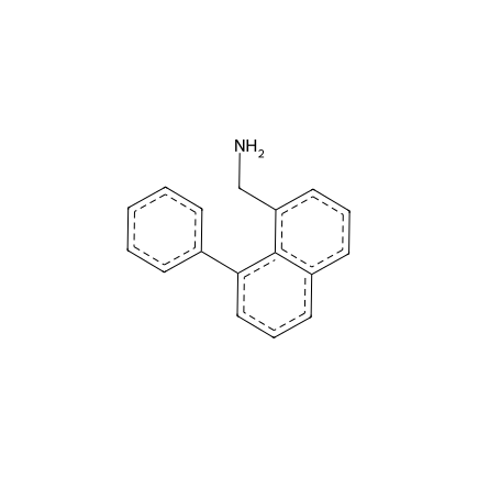 NCc1cccc2cccc(-c3ccccc3)c12